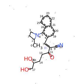 CC1CCN1c1c(/C=C(\C#N)C(=O)CCC(O)CO)ccc2ccccc12